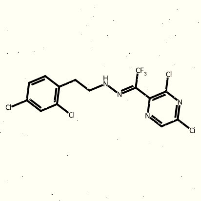 FC(F)(F)/C(=N\NCCc1ccc(Cl)cc1Cl)c1ncc(Cl)nc1Cl